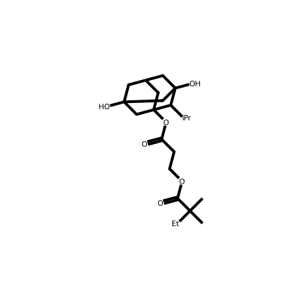 CCC(C)(C)C(=O)OCCC(=O)OC12CC3CC(O)(CC(O)(C3)C1C(C)C)C2